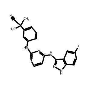 CC(C)(C#N)c1cccc(Nc2nccc(Nc3n[nH]c4ccc(F)cc34)n2)c1